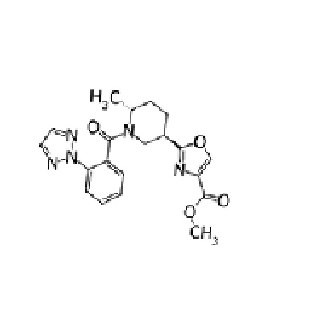 COC(=O)c1coc([C@@H]2CC[C@@H](C)N(C(=O)c3ccccc3-n3nccn3)C2)n1